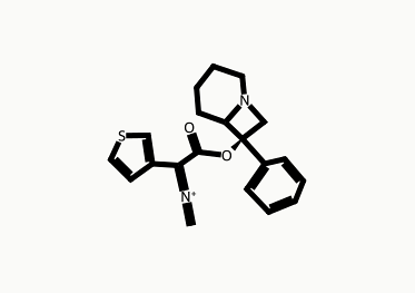 C=[N+]=C(C(=O)O[C@]1(c2ccccc2)CN2CCCCC21)c1ccsc1